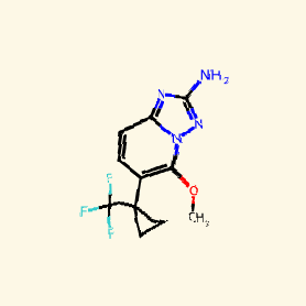 COc1c(C2(C(F)(F)F)CC2)ccc2nc(N)nn12